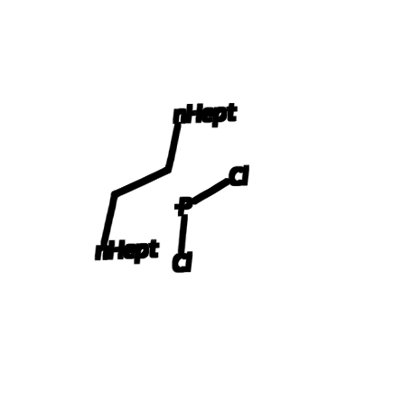 CCCCCCCCCCCCCCCC.Cl[P]Cl